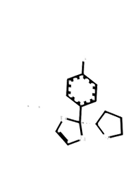 Brc1ccc(C2([C@@H]3CCCN3)NC=CN2)cc1.Cl.Cl